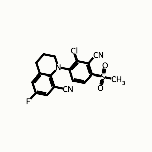 CS(=O)(=O)c1ccc(N2CCCc3cc(F)cc(C#N)c32)c(Cl)c1C#N